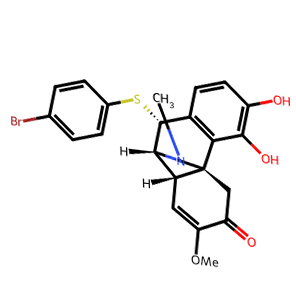 COC1=C[C@@H]2[C@@H]3[C@H](Sc4ccc(Br)cc4)c4ccc(O)c(O)c4[C@@]2(CC1=O)CN3C